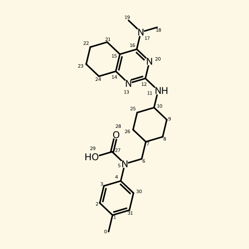 Cc1ccc(N(CC2CCC(Nc3nc4c(c(N(C)C)n3)CCCC4)CC2)C(=O)O)cc1